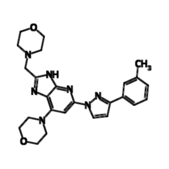 Cc1cccc(-c2ccn(-c3cc(N4CCOCC4)c4nc(CN5CCOCC5)[nH]c4n3)n2)c1